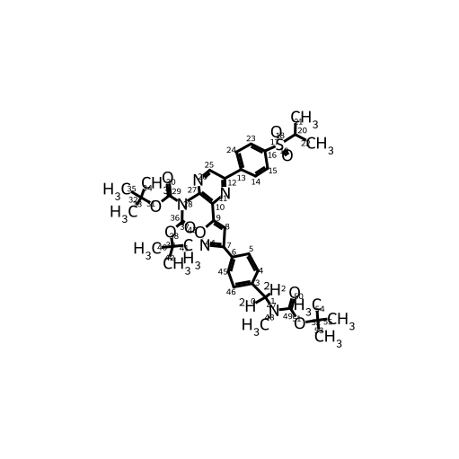 [2H]C([2H])(c1ccc(-c2cc(-c3nc(-c4ccc(S(=O)(=O)C(C)C)cc4)cnc3N(C(=O)OC(C)(C)C)C(=O)OC(C)(C)C)on2)cc1)N(C)C(=O)OC(C)(C)C